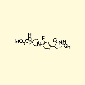 O=C(O)CC1(O)CCN(c2ccc(C3CCC(O)NC3=O)cc2F)CC1